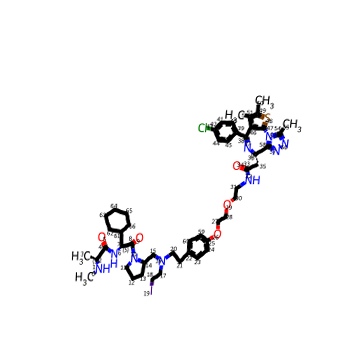 CN[C@@H](C)C(=O)N[C@H](C(=O)N1CCCC1CN(CCI)CCc1ccc(OCCOCCNC(=O)C[C@@H]2N=C(c3ccc(Cl)cc3)c3c(sc(C)c3C)-n3c(C)nnc32)cc1)C1CCCCC1